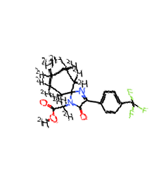 [2H]OC(=O)C([2H])([2H])N1C(=O)C(c2ccc(C(F)(F)F)cc2)=NC12C([2H])([2H])C([2H])([2H])C([2H])([2H])C([2H])([2H])C2([2H])[2H]